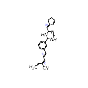 C=C/C(C#N)=C\C=C\c1cccc(C2NC=NC(/C=C3\C=CCC3)N2)c1